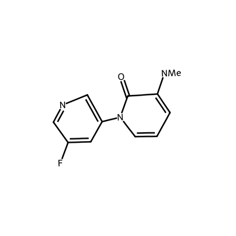 CNc1cccn(-c2cncc(F)c2)c1=O